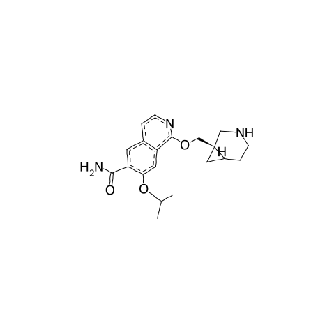 CC(C)Oc1cc2c(OC[C@@]34CNCC[C@@H]3C4)nccc2cc1C(N)=O